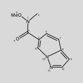 CON(C)C(=O)c1ccc2ccnn2c1